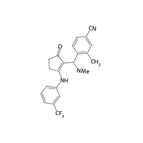 CNC(C1=C(Nc2cccc(C(F)(F)F)c2)CCC1=O)c1ccc(C#N)cc1C